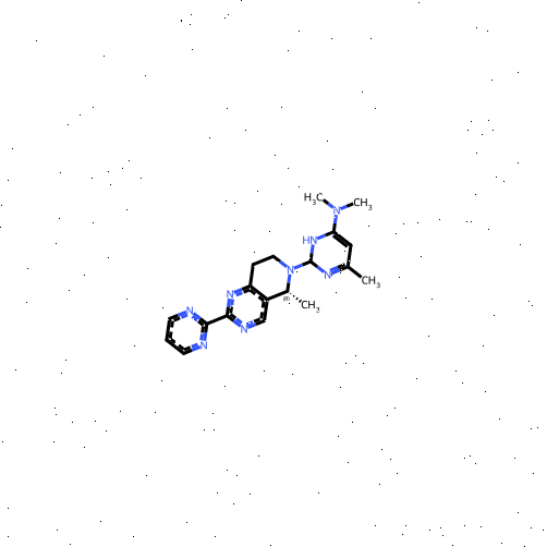 CC1=NC(N2CCc3nc(-c4ncccn4)ncc3[C@H]2C)NC(N(C)C)=C1